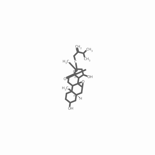 C=C(CCC1(C)OC(=O)[C@]23CCC4C5(OC5C[C@H]5CC(O)CCC45C)C2C(O)CC13)C(C)C